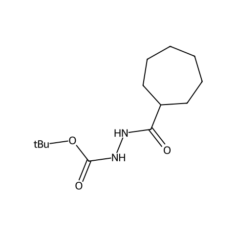 CC(C)(C)OC(=O)NNC(=O)C1CCCCCC1